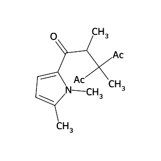 CC(=O)C(C)(C(C)=O)C(C)C(=O)c1ccc(C)n1C